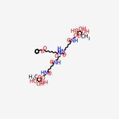 C[C@@H]1O[C@@H](OCCNC(=O)CCCCCNC(=O)[C@H](CCCCNC(=O)CCCCC(=O)NCCO[C@@H]2O[C@@H](C)[C@@H](O)[C@@H](O)[C@@H]2O)NC(=O)CCCCCCC(=O)OCc2ccccc2)[C@@H](O)[C@H](O)[C@@H]1O